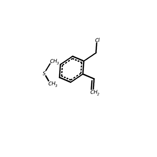 C=Cc1ccccc1CCl.CSC